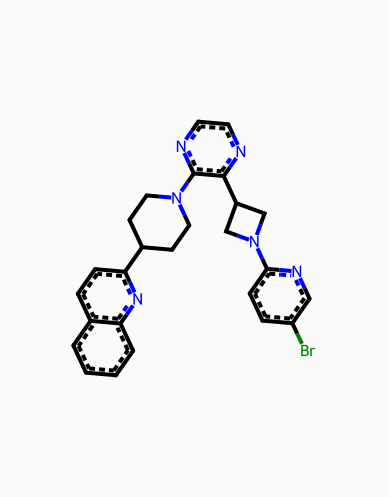 Brc1ccc(N2CC(c3nccnc3N3CCC(c4ccc5ccccc5n4)CC3)C2)nc1